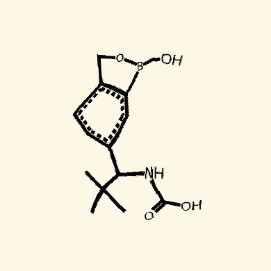 CC(C)(C)C(NC(=O)O)c1ccc2c(c1)B(O)OC2